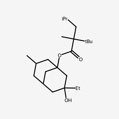 CCC1(O)CC2CC(C)CC(OC(=O)C(C)(CC(C)C)C(C)(C)C)(C2)C1